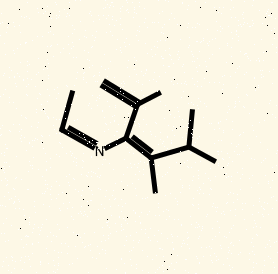 C=C(C)C(/N=C\C)=C(/C)C(C)C